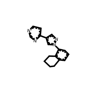 c1cc2c(c(-n3cc(-c4ccncn4)cn3)c1)CCCC2